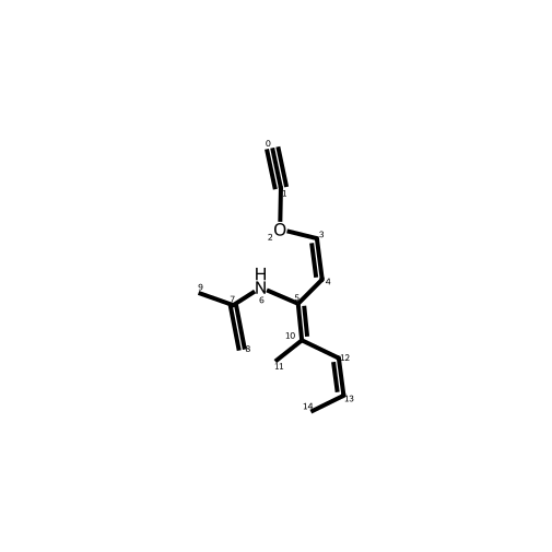 C#CO\C=C/C(NC(=C)C)=C(C)\C=C/C